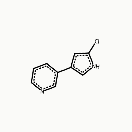 Clc1cc(-c2cccnc2)c[nH]1